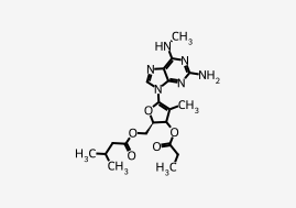 CCC(=O)OC1C(C)=C(n2cnc3c(NC)nc(N)nc32)O[C@@H]1COC(=O)CC(C)C